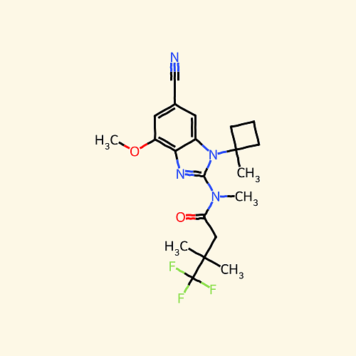 COc1cc(C#N)cc2c1nc(N(C)C(=O)CC(C)(C)C(F)(F)F)n2C1(C)CCC1